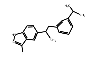 CC(C)c1cccc(CC(C)c2ccc3[nH]nc(I)c3c2)c1